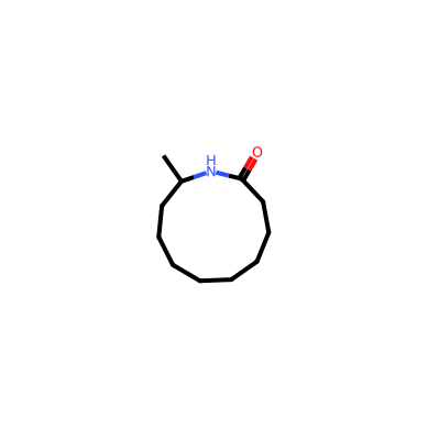 CC1CCCCCCCCC(=O)N1